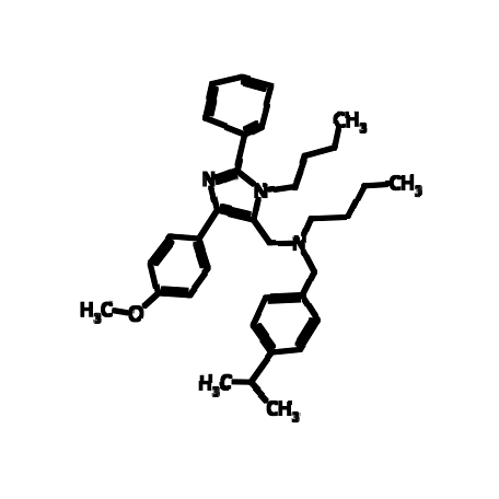 CCCCN(Cc1ccc(C(C)C)cc1)Cc1c(-c2ccc(OC)cc2)nc(-c2ccccc2)n1CCCC